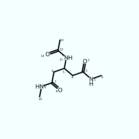 CNC(=O)CC(CC(=O)NC)NC(C)=O